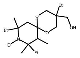 CCC1(CO)COC2(CC(C)(CC)N([O])C(C)(CC)C2C)OC1